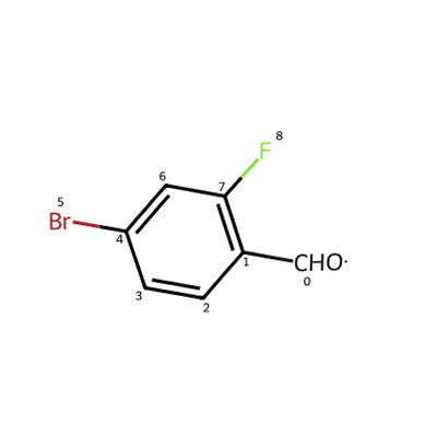 O=[C]c1ccc(Br)cc1F